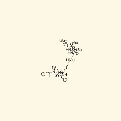 CC(C)(C)OC(=O)CC[C@H](NC(=O)NC(CCC(=O)NCCCCCCCC(=O)N[C@@H](Cc1ccccc1)C(=O)N[C@@H](Cc1ccccc1)C(=O)NCCNCc1ccccc1)C(=O)OC(C)(C)C)C(=O)OC(C)(C)C